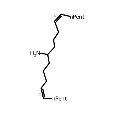 CCCCC/C=C\CCCC(N)CCC/C=C\CCCCC